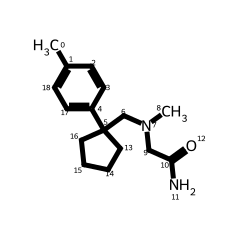 Cc1ccc(C2(CN(C)CC(N)=O)CCCC2)cc1